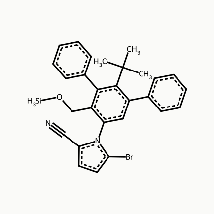 CC(C)(C)c1c(-c2ccccc2)cc(-n2c(Br)ccc2C#N)c(CO[SiH3])c1-c1ccccc1